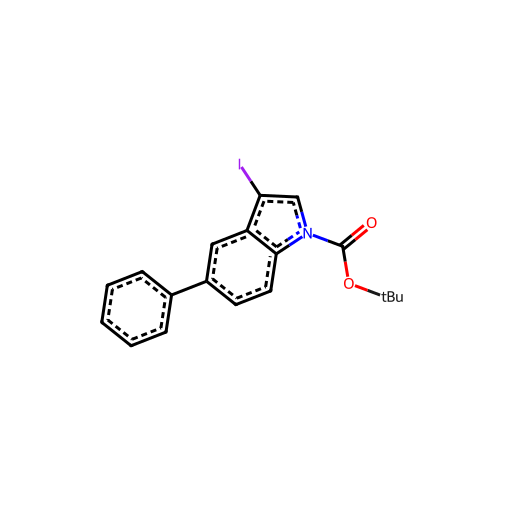 CC(C)(C)OC(=O)n1cc(I)c2cc(-c3ccccc3)ccc21